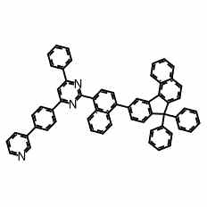 c1ccc(-c2cc(-c3ccc(-c4cccnc4)cc3)nc(-c3ccc(-c4ccc5c(c4)-c4c(ccc6ccccc46)C5(c4ccccc4)c4ccccc4)c4ccccc34)n2)cc1